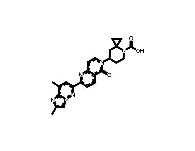 Cc1cn2nc(-c3ccc4c(=O)n(C5CCN(C(=O)O)C6(CC6)C5)ccc4n3)cc(C)c2n1